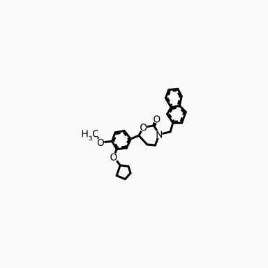 COc1ccc(C2CCN(Cc3ccc4ccccc4c3)C(=O)O2)cc1OC1CCCC1